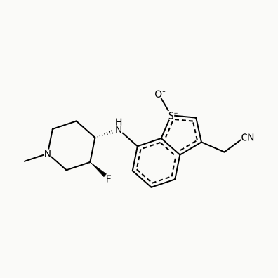 CN1CC[C@H](Nc2cccc3c(CC#N)c[s+]([O-])c23)[C@@H](F)C1